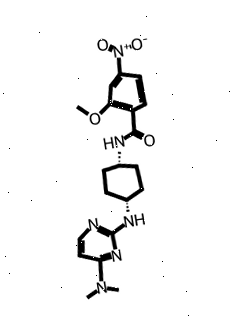 COc1cc([N+](=O)[O-])ccc1C(=O)N[C@H]1CC[C@@H](Nc2nccc(N(C)C)n2)CC1